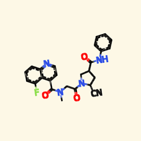 CN(CC(=O)N1CC(C(=O)Nc2ccccc2)CC1C#N)C(=O)c1ccnc2cccc(F)c12